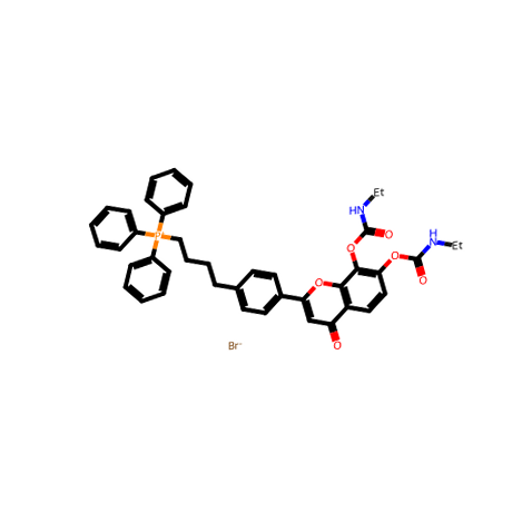 CCNC(=O)Oc1ccc2c(=O)cc(-c3ccc(CCCC[P+](c4ccccc4)(c4ccccc4)c4ccccc4)cc3)oc2c1OC(=O)NCC.[Br-]